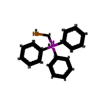 SC[PH](c1ccccc1)(c1ccccc1)c1ccccc1